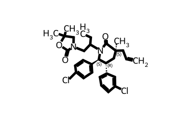 C=CC[C@@]1(C)C[C@H](c2cccc(Cl)c2)[C@@H](c2ccc(Cl)cc2)N(C(CC)CN2CC(C)(C)OC2=O)C1=O